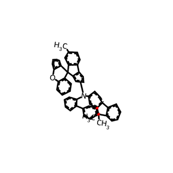 Cc1ccc2c(c1)C1(c3ccccc3Oc3ccccc31)c1cc(N(c3ccc4c(c3)C(C)(C)c3ccccc3-4)c3ccccc3-c3ccccc3)ccc1-2